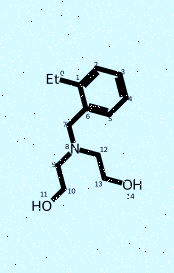 CCc1ccccc1CN(CCO)CCO